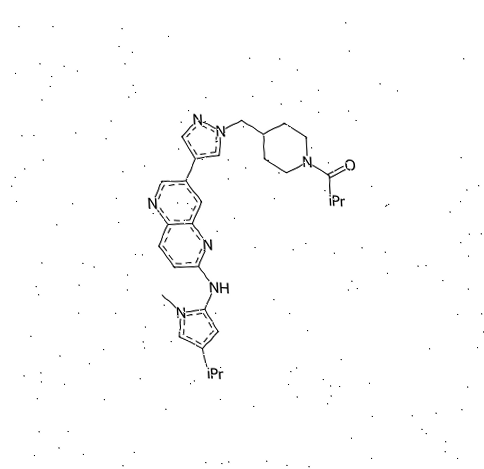 CC(C)C(=O)N1CCC(Cn2cc(-c3cnc4ccc(Nc5cc(C(C)C)cn5C)nc4c3)cn2)CC1